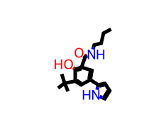 CCCCNC(=O)c1cc(-c2ccc[nH]2)cc(C(C)(C)C)c1O